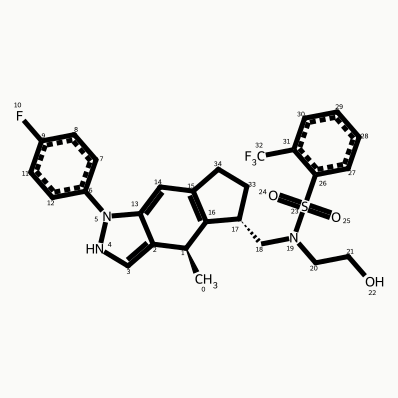 C[C@H]1C2=CNN(c3ccc(F)cc3)C2=CC2=C1[C@@H](CN(CCO)S(=O)(=O)c1ccccc1C(F)(F)F)CC2